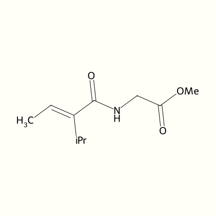 C/C=C(/C(=O)NCC(=O)OC)C(C)C